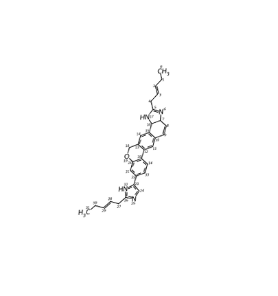 CCC=CCC1=NC2C=Cc3cc4c(cc3C2N1)COc1cc(-c2cnc(CC=CCC)[nH]2)ccc1-4